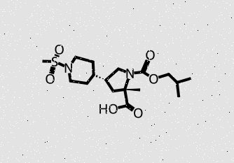 CC(C)COC(=O)N1C[C@@H](C2CCN(S(C)(=O)=O)CC2)C[C@@]1(C)C(=O)O